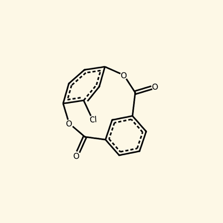 O=C1Oc2ccc(c(Cl)c2)OC(=O)c2cccc1c2